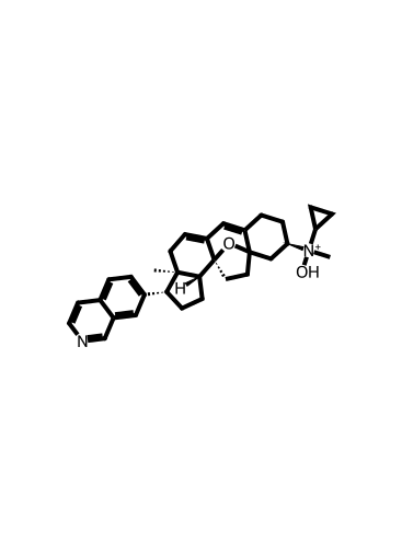 C[C@]12CC=C3C=C4CC[C@@H]([N+](C)(O)C5CC5)CC45CC[C@]3(O5)[C@@H]1CC[C@@H]2c1ccc2ccncc2c1